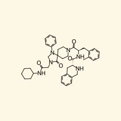 Cc1ccccc1C[C@@H](NC(=O)[C@H]1Cc2ccccc2CN1)C(=O)N1CCC2(CC1)C(=O)N(CC(=O)NC1CCCCC1)CN2c1ccccc1